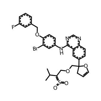 CC(C)C(COCC1(c2ccc3ncnc(Nc4ccc(OCc5cccc(F)c5)c(Br)c4)c3c2)CC=CO1)=S(=O)=O